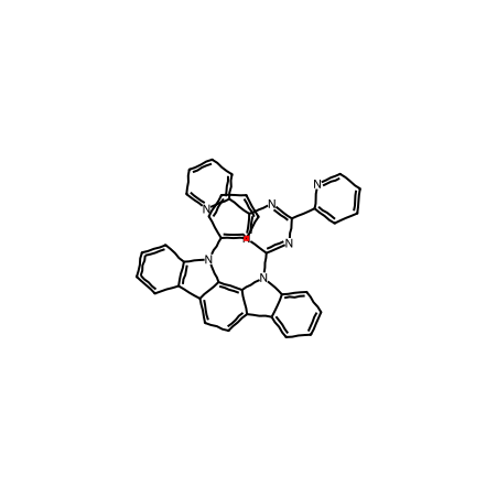 C1=C=Cc2c(c3ccc4c5ccccc5n(-c5nc(-c6ccccn6)nc(-c6ccccn6)n5)c4c3n2-c2ccccc2)C=1